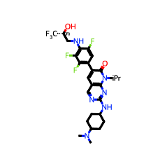 CC(C)n1c(=O)c(-c2cc(F)c(NC[C@@H](O)C(F)(F)F)c(F)c2F)cc2cnc(NC3CCC(N(C)C)CC3)nc21